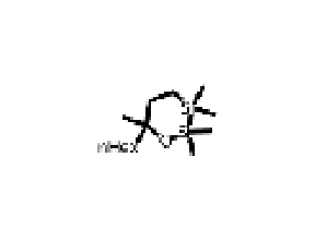 CCCCCCC1(C)CC[Si](C)(C)[Si](C)(C)O1